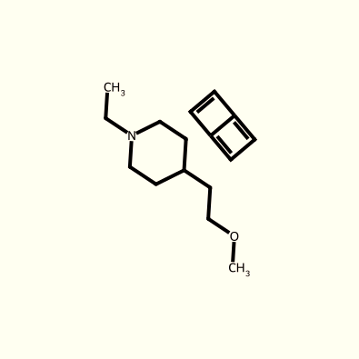 CCN1CCC(CCOC)CC1.c1cc2ccc1-2